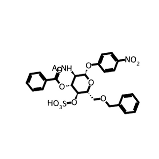 CC(=O)N[C@H]1[C@H](Oc2ccc([N+](=O)[O-])cc2)O[C@H](COCc2ccccc2)[C@@H](OS(=O)(=O)O)[C@@H]1OC(=O)c1ccccc1